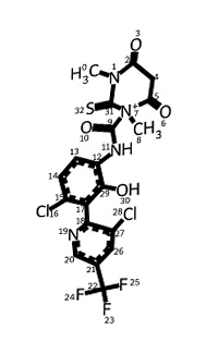 CN1C(=O)CC(=O)[N+](C)(C(=O)Nc2ccc(Cl)c(-c3ncc(C(F)(F)F)cc3Cl)c2O)C1=S